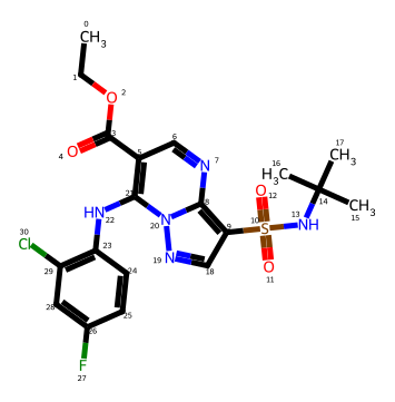 CCOC(=O)c1cnc2c(S(=O)(=O)NC(C)(C)C)cnn2c1Nc1ccc(F)cc1Cl